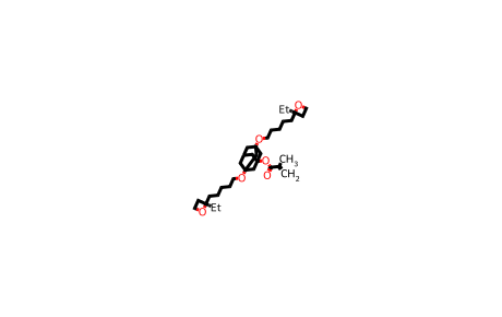 C=C(C)C(=O)OC12CC3CC(OCCCCCC4(CC)CCO4)(CC(OCCCCCC4(CC)CCO4)(C3)C1)C2